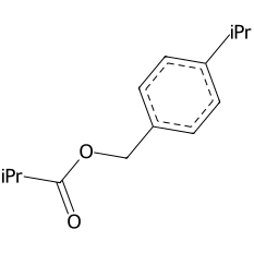 CC(C)C(=O)OCc1ccc(C(C)C)cc1